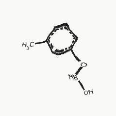 Cc1cccc(OBO)c1